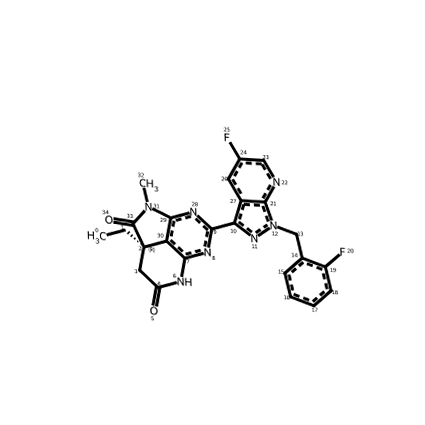 CC[C@@]12CC(=O)Nc3nc(-c4nn(Cc5ccccc5F)c5ncc(F)cc45)nc(c31)N(C)C2=O